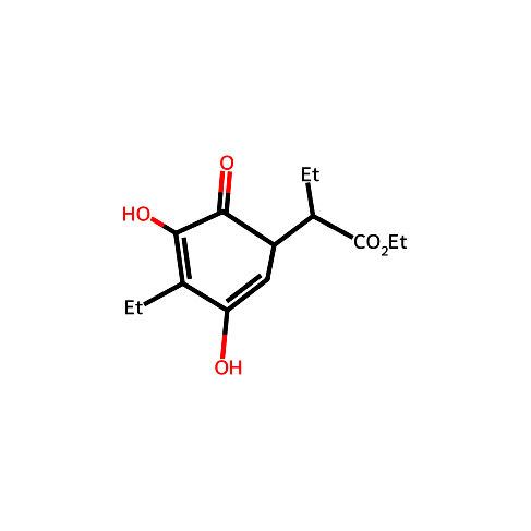 CCOC(=O)C(CC)C1C=C(O)C(CC)=C(O)C1=O